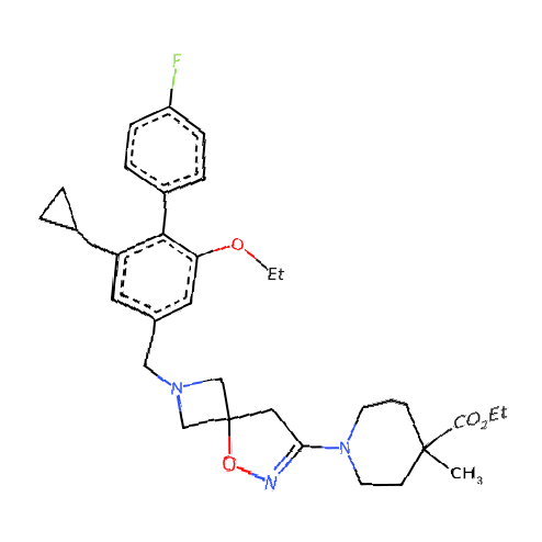 CCOC(=O)C1(C)CCN(C2=NOC3(C2)CN(Cc2cc(OCC)c(-c4ccc(F)cc4)c(C4CC4)c2)C3)CC1